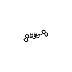 B(OCCc1cccc2ccccc12)OCCc1cccc2ccccc12